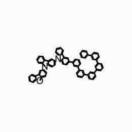 c1ccc(-c2cccc(-c3cccc(-c4cccc(-c5cccc(-c6cccc(-c7ccc8c(c7)c7ccccc7n8-c7ccc8c(c7)c7ccccc7n8-c7ccc8oc9ccccc9c8c7)c6)c5)c4)c3)c2)cc1